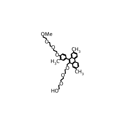 COCCOCCOCCOc1ccc(-c2c(COCCOCCOCCO)c3cc(C)ccc3c3ccc(C)cc23)cc1C